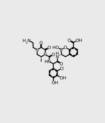 C[C@H]1CN(CCN)C(=O)C(=O)N1C(=O)NC(C(=O)N[C@H]1Cc2cccc(C(=O)O)c2OB1O)c1ccc(O)c(O)c1Cl